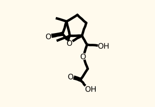 CC12CCC(C(O)OCC(=O)O)(OC1=O)C2(C)C